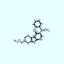 CCN1CCc2c(sc3ncn(C(C)c4ccccc4)c(=O)c23)C1